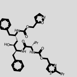 CC(C)c1nc(COC(=O)N[C@H](C(=O)N[C@@H](Cc2ccccc2)[C@@H](O)C[C@H](Cc2ccccc2)NC(=O)OCc2ccno2)C(C)C)cs1